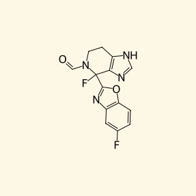 O=CN1CCc2[nH]cnc2C1(F)c1nc2cc(F)ccc2o1